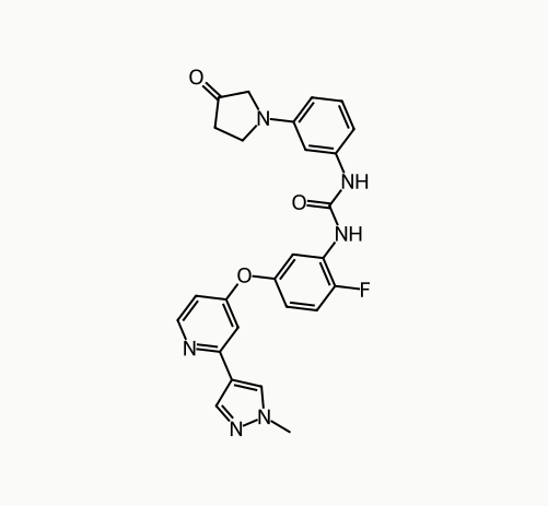 Cn1cc(-c2cc(Oc3ccc(F)c(NC(=O)Nc4cccc(N5CCC(=O)C5)c4)c3)ccn2)cn1